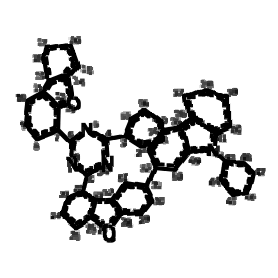 c1ccc(-c2nc(-c3cccc4c3oc3ccccc34)nc(-c3cccc4oc5ccc(-c6ccc7c8ccccc8n(-c8ccccc8)c7c6)cc5c34)n2)cc1